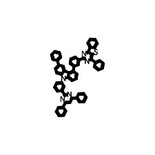 c1ccc(-c2ccc3c(c2)c2c(-c4cccc(-c5nc(-c6ccccc6)c6sc7ccccc7c6n5)c4)cccc2n3-c2cccc(-c3nc(-c4ccccc4)cc(-c4ccccc4)n3)c2)cc1